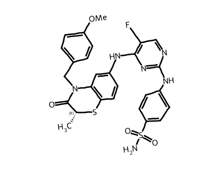 COc1ccc(CN2C(=O)[C@@H](C)Sc3ccc(Nc4nc(Nc5ccc(S(N)(=O)=O)cc5)ncc4F)cc32)cc1